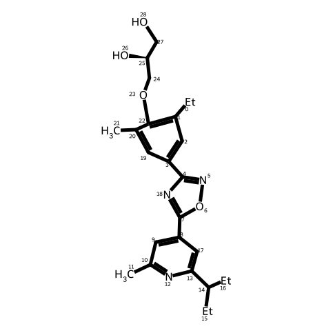 CCc1cc(-c2noc(-c3cc(C)nc(C(CC)CC)c3)n2)cc(C)c1OC[C@@H](O)CO